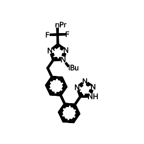 CCCC(F)(F)c1nc(Cc2ccc(-c3ccccc3-c3nnn[nH]3)cc2)n(C(C)CC)n1